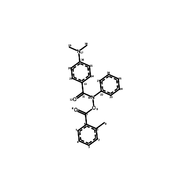 Cc1ccccc1C(=O)ON(C(=O)c1ccc(N(C)C)cc1)c1ccccc1